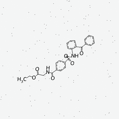 CCOC(=O)CNC(=O)c1ccc(S(=O)(=O)Nc2ccccc2C(=O)c2ccccc2)cc1